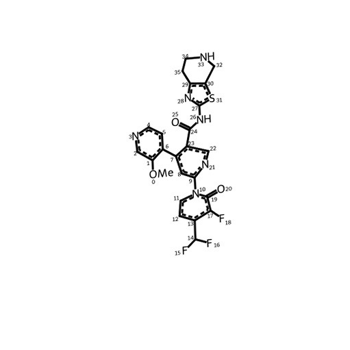 COc1cnccc1-c1cc(-n2ccc(C(F)F)c(F)c2=O)ncc1C(=O)Nc1nc2c(s1)CNCC2